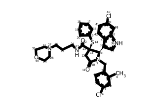 Cc1cc(Cl)ccc1CN1C(=O)C[C@](Sc2ccccc2)(C(=O)NCCCN2CCOCC2)[C@@H]1c1c[nH]c2cc(Cl)ccc12